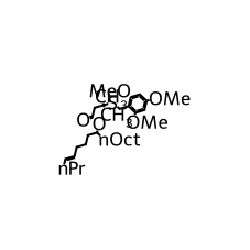 CCCC=CCCCC(CCCCCCCC)OC(=O)CC(C)(C)SCc1c(OC)cc(OC)cc1OC